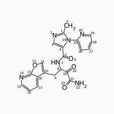 Cc1ncc(C(=O)NC(Cc2coc3ncccc23)C(=O)C(N)=O)n1-c1ccccn1